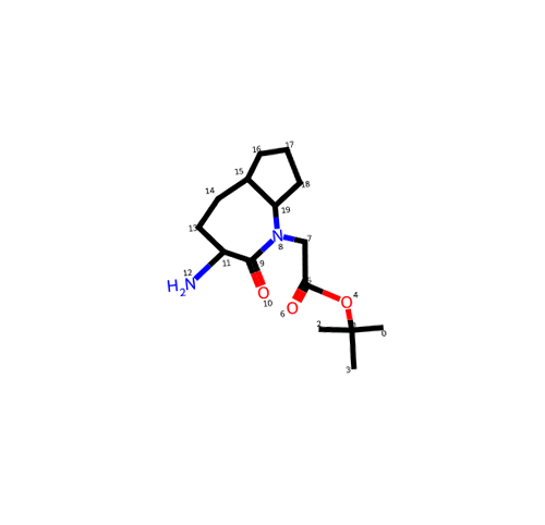 CC(C)(C)OC(=O)CN1C(=O)C(N)CCC2CCCC21